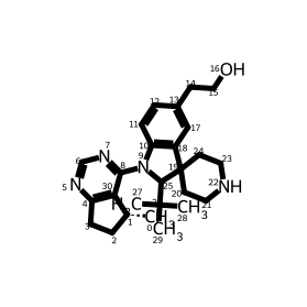 C[C@@H]1CCc2ncnc(N3c4ccc(CCO)cc4C4(CCNCC4)C3C(C)(C)C)c21